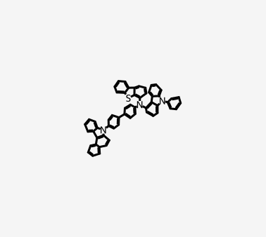 c1ccc(-n2c3ccccc3c3c(N(c4ccc(-c5ccc(-n6c7ccccc7c7c8ccccc8ccc76)cc5)cc4)c4cccc5c4sc4ccccc45)cccc32)cc1